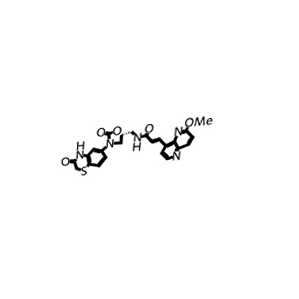 COc1ccc2nccc(C=CC(=O)NC[C@@H]3CN(c4ccc5c(c4)NC(=O)CS5)C(=O)O3)c2n1